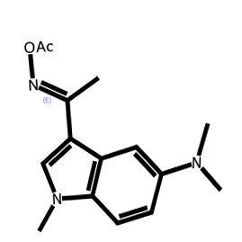 CC(=O)O/N=C(\C)c1cn(C)c2ccc(N(C)C)cc12